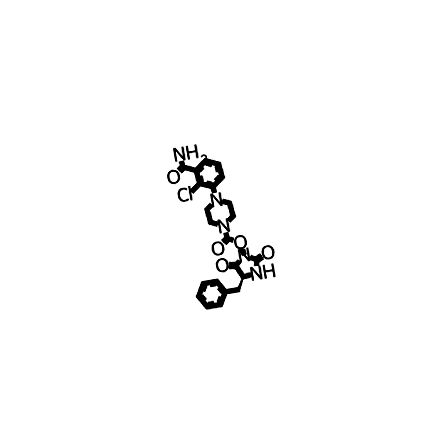 NC(=O)c1cccc(N2CCN(C(=O)ON3C(=O)N[C@@H](Cc4ccccc4)C3=O)CC2)c1Cl